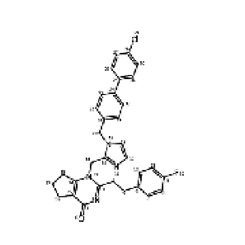 O=c1nc(CCc2ccc(F)cc2)n(Cc2nccn2Cc2ccc(-c3ccc(Cl)cc3)cc2)c2c1CCC2